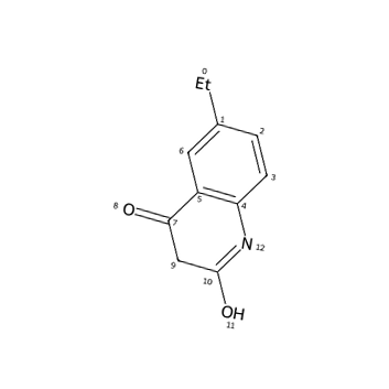 CCc1ccc2c(c1)C(=O)CC(O)=N2